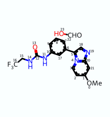 COc1ccn2c(-c3cccc(NC(=O)NCC(F)(F)F)c3)cnc2c1.O=CO